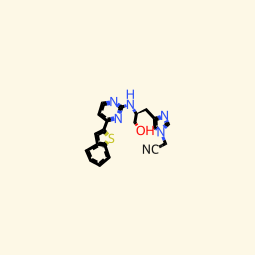 N#CCn1cnc(C[C@@H](CO)Nc2nccc(-c3cc4ccccc4s3)n2)c1